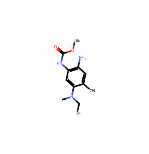 CC(C)CN(C)c1cc(NC(=O)OC(C)(C)C)c(N)cc1C#N